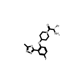 Cc1nnc(-c2cc(F)ccc2OC2CCN(C(=O)[C@@H](N)C(C)C)CC2)o1